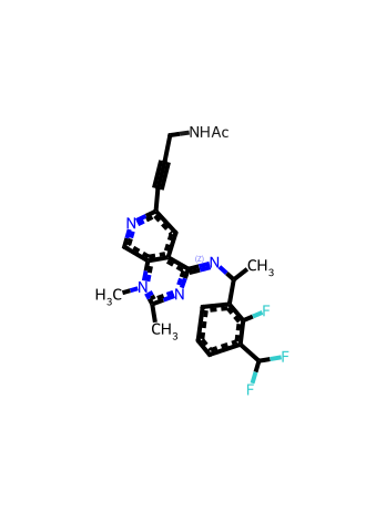 CC(=O)NCC#Cc1cc2/c(=N/C(C)c3cccc(C(F)F)c3F)nc(C)n(C)c2cn1